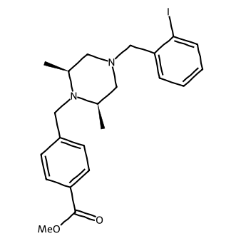 COC(=O)c1ccc(CN2[C@H](C)CN(Cc3ccccc3I)C[C@@H]2C)cc1